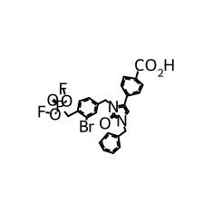 O=C(O)c1ccc(-c2cn(Cc3ccccc3)c(=O)n2Cc2ccc(CP(=O)(OF)OF)c(Br)c2)cc1